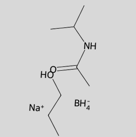 CC(=O)NC(C)C.CCCO.[BH4-].[Na+]